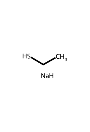 CCS.[NaH]